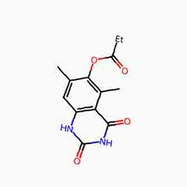 CCC(=O)Oc1c(C)cc2[nH]c(=O)[nH]c(=O)c2c1C